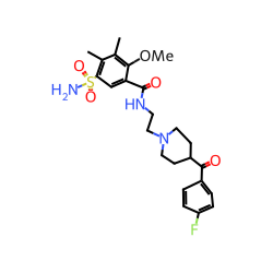 COc1c(C(=O)NCCN2CCC(C(=O)c3ccc(F)cc3)CC2)cc(S(N)(=O)=O)c(C)c1C